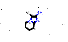 CC(=O)c1c(N)nc2n1CCCC2